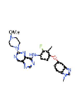 CON1CCN(c2ncc3ncnc(Nc4ccc(Oc5ccc6c(c5)ncn6C)c(C)c4F)c3n2)CC1